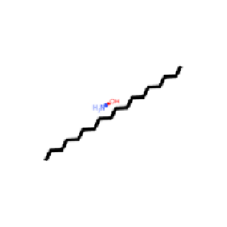 CCCCCCCCCCCCCCCCCC.NO